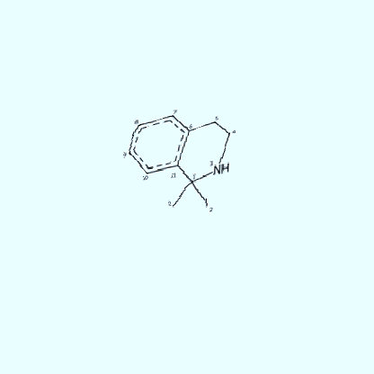 CC1(I)NCCc2ccccc21